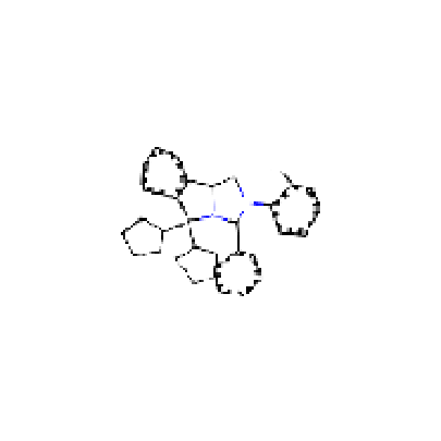 Cc1ccccc1N1C(c2ccccc2)N2C(c3ccccc3C2(C2CCCC2)C2CCCC2)[C@@H]1C